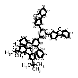 CC(C)(C)c1ccc2c(c1)c1cc(C(C)(C)C)ccc1n2-c1c(-c2ccccc2)cc(-c2nc(-c3ccc4c(c3)oc3ccccc34)nc(-c3ccc4oc5ccccc5c4c3)n2)cc1-c1ccccc1